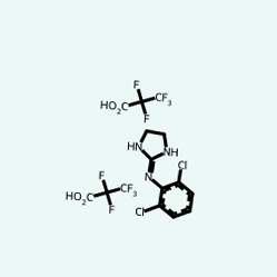 Clc1cccc(Cl)c1N=C1NCCN1.O=C(O)C(F)(F)C(F)(F)F.O=C(O)C(F)(F)C(F)(F)F